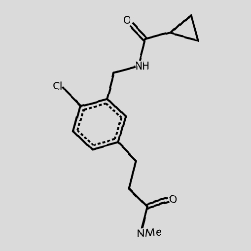 CNC(=O)CCc1ccc(Cl)c(CNC(=O)C2CC2)c1